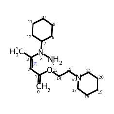 C=C(/C=C(/C)N(N)C1CCCCC1)OCCN1CCCCC1